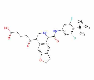 C[Si](C)(C)c1c(F)cc(NC(=O)[C@@H]2NCC(C(=O)CCCC(=O)O)c3cc4c(cc32)CCO4)cc1F